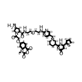 Cn1c(=O)oc(=O)c2ccc(OCC(=O)N3C[C@@H](N)C[C@H]3C(=O)NCCOCCNc3ncc(CN4CCCC(c5nc(=O)cc(-c6cccs6)[nH]5)C4)cn3)cc21